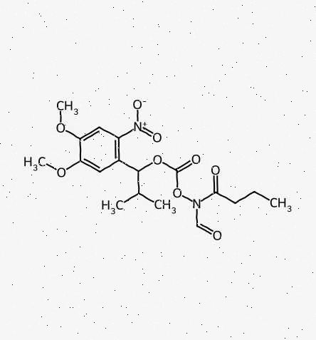 CCCC(=O)N(C=O)OC(=O)OC(c1cc(OC)c(OC)cc1[N+](=O)[O-])C(C)C